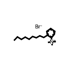 CCCCCCCCCc1ccccc1[N+](C)(C)C.[Br-]